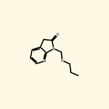 CCCOCN1C(=O)Cc2cccnc21